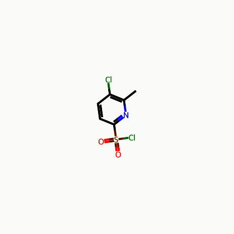 Cc1nc(S(=O)(=O)Cl)ccc1Cl